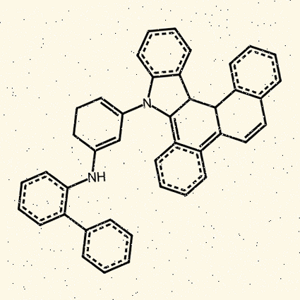 C1=Cc2ccccc2C2C1=c1ccccc1=C1C2c2ccccc2N1C1=CCCC(Nc2ccccc2-c2ccccc2)=C1